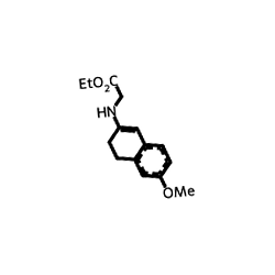 CCOC(=O)CNC1=Cc2ccc(OC)cc2CC1